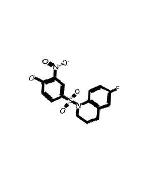 O=[N+]([O-])c1cc(S(=O)(=O)N2CCCc3cc(F)ccc32)ccc1Cl